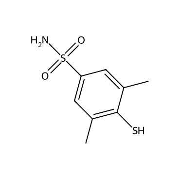 Cc1cc(S(N)(=O)=O)cc(C)c1S